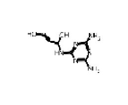 Nc1nc(N)nc(NC(O)C=CO)n1